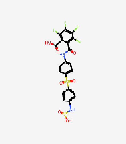 O=C(O)c1c(F)c(F)c(F)c(F)c1C(=O)Nc1ccc(S(=O)(=O)c2ccc(NS(=O)O)cc2)cc1